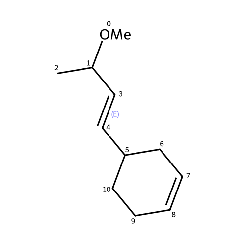 COC(C)/C=C/C1CC=CCC1